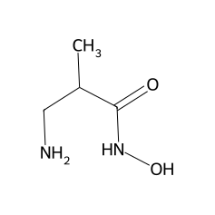 CC(CN)C(=O)NO